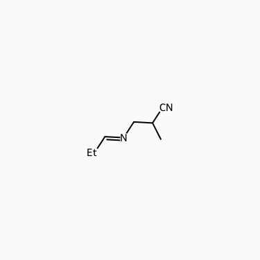 CCC=NCC(C)C#N